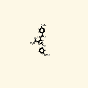 COc1ccc(C(=O)Nc2sc(Nc3ccnc(OC)c3)nc2C(N)=O)cc1